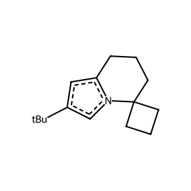 CC(C)(C)c1cc2n(c1)C1(CCC2)CCC1